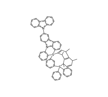 CC1C=CC2(C)C3=C1C(C)C=C(C3C)S1(c3cccc(c3)S2(c2ccccc2)c2ccccc2)c2ccccc2-n2c3ccc(-n4c5ccccc5c5ccccc54)cc3c3cccc1c32